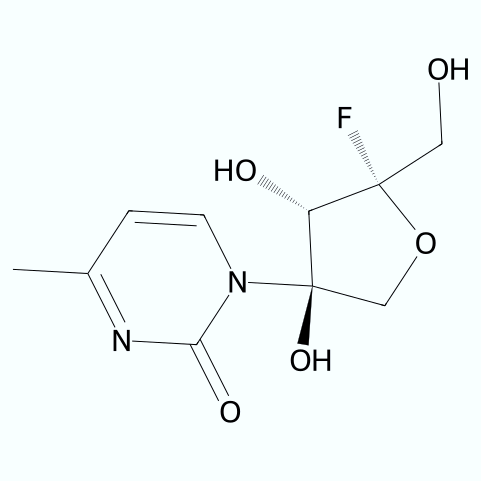 Cc1ccn([C@@]2(O)CO[C@](F)(CO)[C@H]2O)c(=O)n1